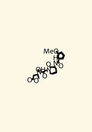 COc1cccc(C(=O)NC2CC=CCN(CC(=O)N(O)C3COC(=O)C3)C2=O)c1